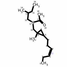 CC/C=C\CCC1CC1(C)CN(CC(C)CC)C(C)=O